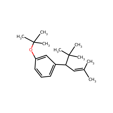 CC(C)=CC(c1cccc(OC(C)(C)C)c1)C(C)(C)C